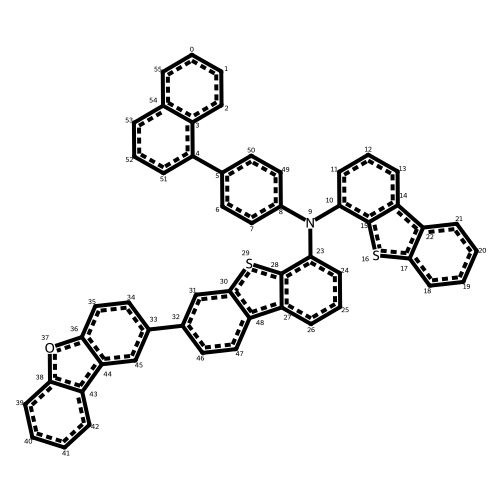 c1ccc2c(-c3ccc(N(c4cccc5c4sc4ccccc45)c4cccc5c4sc4cc(-c6ccc7oc8ccccc8c7c6)ccc45)cc3)cccc2c1